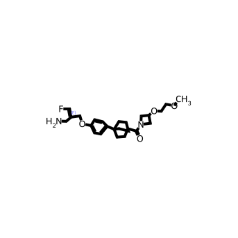 COCCOC1CN(C(=O)C23CCC(c4ccc(OC/C(=C/F)CN)cc4)(CC2)CC3)C1